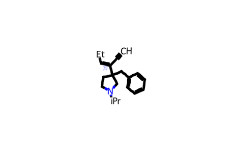 C#C/C(=C\CC)C1(Cc2ccccc2)CCN(C(C)C)C1